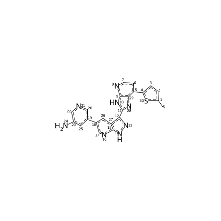 Cc1ccc(-c2ccnc3[nH]c(-c4n[nH]c5ncc(-c6cncc(N)c6)cc45)nc23)s1